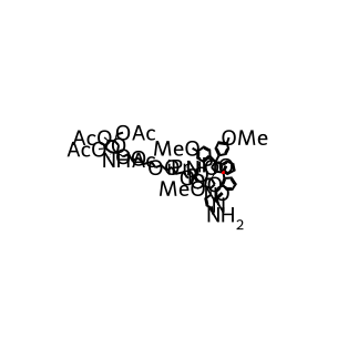 COc1ccc(C(OC(C(=O)c2ccccc2)[C@H]2O[C@@H](n3ccc(N)nc3=O)[C@H](OC)[C@@H]2OP(=O)(OCCOCCOCCOCCO[C@@H]2O[C@H](COC(C)=O)[C@H](OC(C)=O)[C@H](OC(C)=O)[C@H]2NC(C)=O)N(C(C)C)C(C)C)(c2ccccc2)c2ccc(OC)cc2)cc1